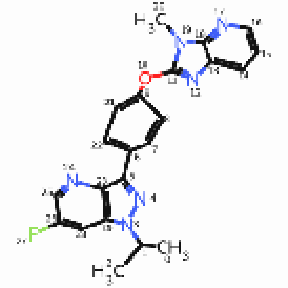 CC(C)n1nc(-c2ccc(Oc3nc4cccnc4n3C)cc2)c2ncc(F)cc21